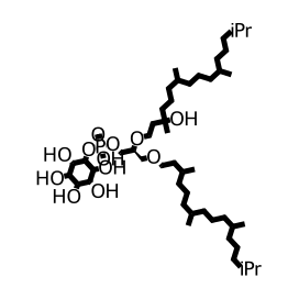 CC(C)CCCC(C)CCCC(C)CCCC(C)CCOC[C@@H](COP(=O)(O)OC1C(O)C(O)C(O)C(O)C1O)OCCC(C)(O)CCCC(C)CCCC(C)CCCC(C)C